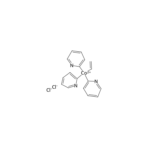 C=[CH][Co+2]([c]1ccccn1)([c]1ccccn1)[c]1ccccn1.[Cl-].[Cl-]